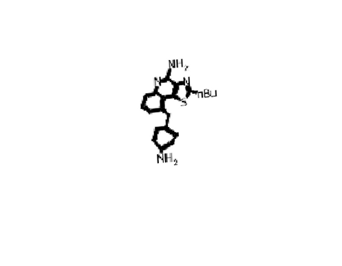 CCCCc1nc2c(N)nc3cccc(Cc4ccc(N)cc4)c3c2s1